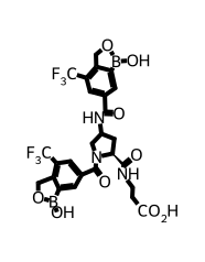 O=C(O)CCNC(=O)[C@@H]1CC(NC(=O)c2cc3c(c(C(F)(F)F)c2)COB3O)CN1C(=O)c1cc2c(c(C(F)(F)F)c1)COB2O